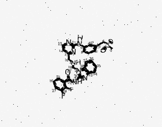 CS(=O)(=O)Cc1cccc(Nc2nccc(CNCn3c(NC(=O)c4cccc(F)c4F)nc4ccccc43)n2)c1